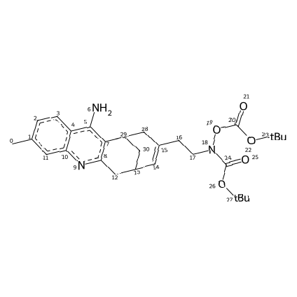 Cc1ccc2c(N)c3c(nc2c1)CC1C=C(CCN(OC(=O)OC(C)(C)C)C(=O)OC(C)(C)C)CC3C1